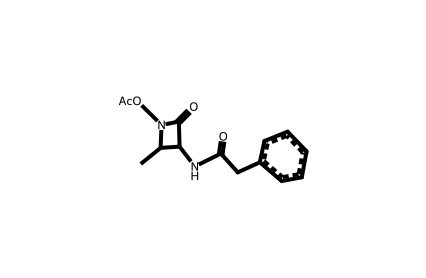 CC(=O)ON1C(=O)C(NC(=O)Cc2ccccc2)C1C